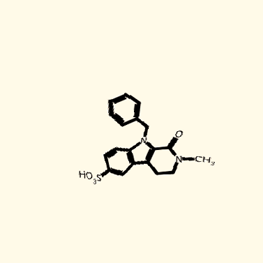 CN1CCc2c(n(Cc3ccccc3)c3ccc(S(=O)(=O)O)cc23)C1=O